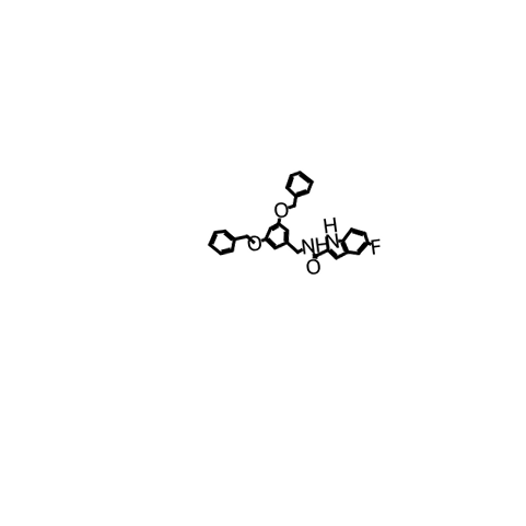 O=C(NCc1cc(OCc2ccccc2)cc(OCc2ccccc2)c1)c1cc2cc(F)ccc2[nH]1